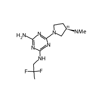 CN[C@@H]1CCN(c2nc(N)nc(NCC(C)(F)F)n2)C1